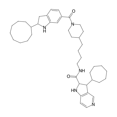 O=C(NCCCCC1CCN(C(=O)c2ccc3c(c2)NC(C2CCCCCCCC2)C3)CC1)C1Nc2ccncc2C1C1CCCCCC1